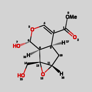 COC(=O)C1=CO[C@@H](O)[C@H]2[C@@H]1C[C@@H]1O[C@]21CO